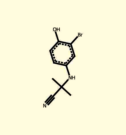 CC(C)(C#N)Nc1ccc(O)c(Br)c1